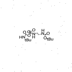 CC(C)(C)NC(=O)OS(=O)(=O)NCCNC(=O)OC(C)(C)C